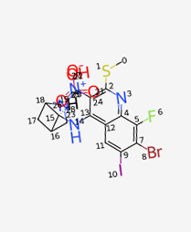 CSc1nc2c(F)c(Br)c(I)cc2c(N[C@H]2C3CC2N(C(=O)O)C3)c1[N+](=O)[O-]